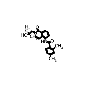 Cc1ccc(C(=O)Nc2cccc3c(=O)n(CC(C)(C)O)ccc23)c(C)c1